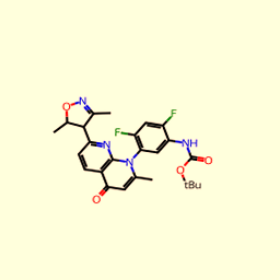 CC1=NOC(C)C1c1ccc2c(=O)cc(C)n(-c3cc(NC(=O)OC(C)(C)C)c(F)cc3F)c2n1